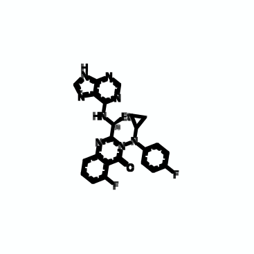 CC[C@H](Nc1ncnc2[nH]cnc12)c1nc2cccc(F)c2c(=O)n1N(c1ccc(F)cc1)C1CC1